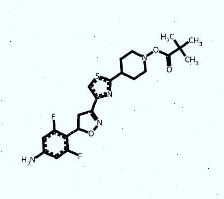 CC(C)(C)C(=O)ON1CCC(c2nc(C3=NOC(c4c(F)cc(N)cc4F)C3)cs2)CC1